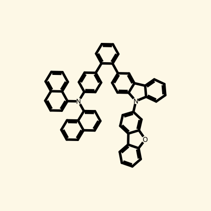 c1ccc(-c2ccc3c(c2)c2ccccc2n3-c2ccc3c(c2)oc2ccccc23)c(-c2ccc(N(c3cccc4ccccc34)c3cccc4ccccc34)cc2)c1